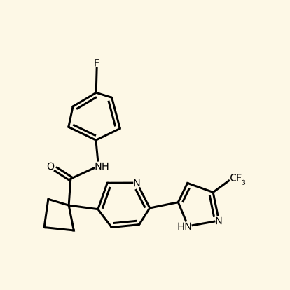 O=C(Nc1ccc(F)cc1)C1(c2ccc(-c3cc(C(F)(F)F)n[nH]3)nc2)CCC1